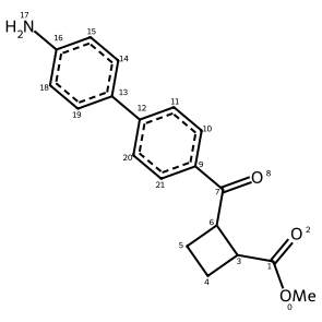 COC(=O)C1CCC1C(=O)c1ccc(-c2ccc(N)cc2)cc1